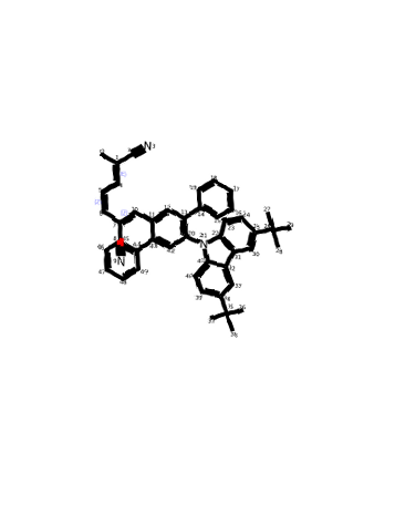 C\C(C#N)=C/C=C\C(C#N)=C\c1cc(-c2ccccc2)c(-n2c3ccc(C(C)(C)C)cc3c3cc(C(C)(C)C)ccc32)cc1-c1ccccc1